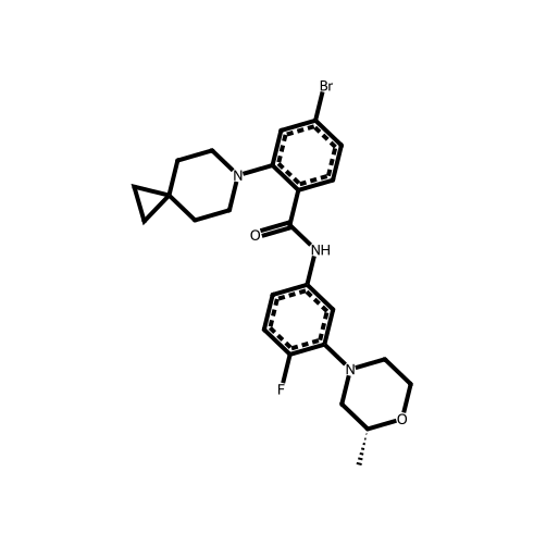 C[C@@H]1CN(c2cc(NC(=O)c3ccc(Br)cc3N3CCC4(CC3)CC4)ccc2F)CCO1